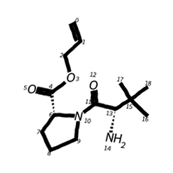 C=CCOC(=O)[C@H]1CCCN1C(=O)[C@@H](N)C(C)(C)C